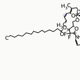 C=C/C=C\C1=C(C)COP(=O)(OCC2O[C@@H](n3ccc(N)nc3=O)C(F)(F)[C@@H]2OC(=O)CCCCCCCCCCCCCC)O1